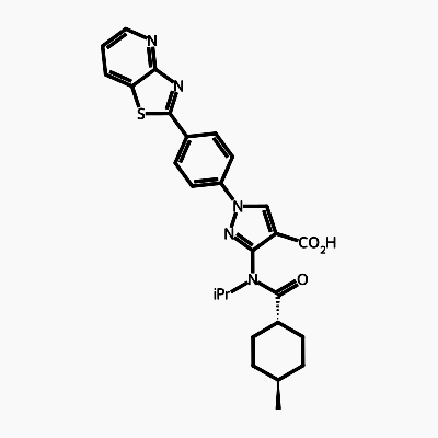 CC(C)N(c1nn(-c2ccc(-c3nc4ncccc4s3)cc2)cc1C(=O)O)C(=O)[C@H]1CC[C@H](C)CC1